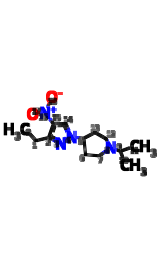 CCc1nn(C2CCN(C(C)C)CC2)cc1[N+](=O)[O-]